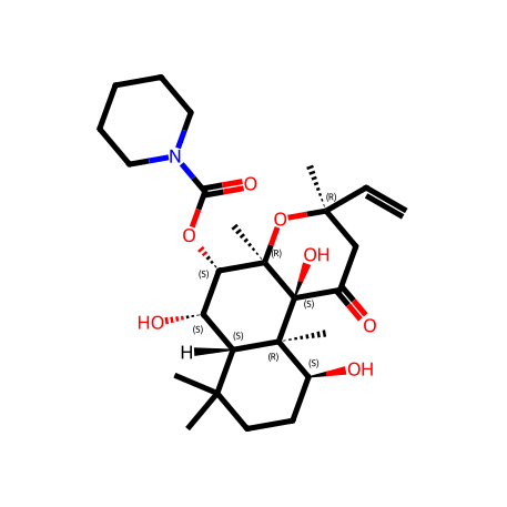 C=C[C@@]1(C)CC(=O)[C@]2(O)[C@@]3(C)[C@@H](O)CCC(C)(C)[C@@H]3[C@H](O)[C@H](OC(=O)N3CCCCC3)[C@@]2(C)O1